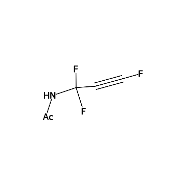 CC(=O)NC(F)(F)C#CF